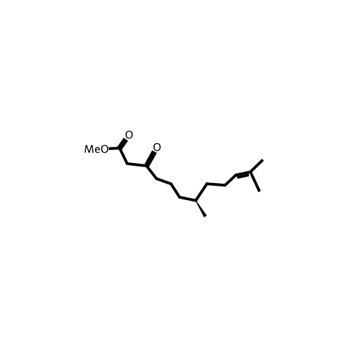 COC(=O)CC(=O)CCC[C@H](C)CCC=C(C)C